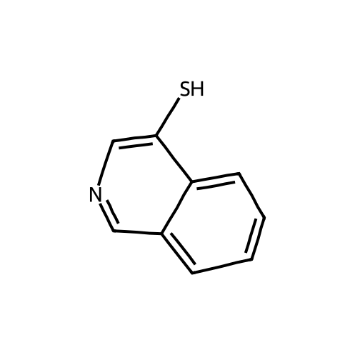 Sc1cncc2ccccc12